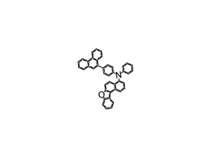 c1ccc(N(c2ccc(-c3cc4ccccc4c4ccccc34)cc2)c2cccc3c2ccc2oc4ccccc4c23)cc1